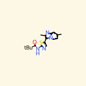 Cc1ccn2c(-c3cnc(NC(=O)C(C)(C)C)s3)c(C)nc2c1